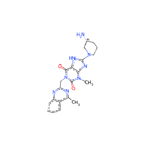 Cc1nc(Cn2c(=O)c3[nH]c(N4CCC[C@@H](N)C4)nc3n(C)c2=O)nc2ccccc12